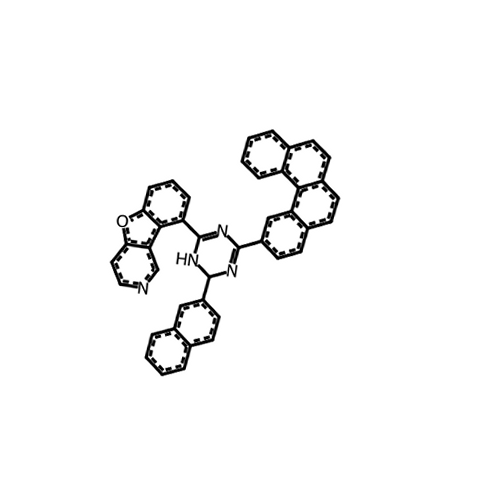 c1ccc2cc(C3N=C(c4ccc5ccc6ccc7ccccc7c6c5c4)N=C(c4cccc5oc6ccncc6c45)N3)ccc2c1